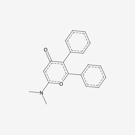 CN(C)c1cc(=O)c(-c2ccccc2)c(-c2ccccc2)o1